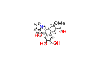 COc1cc2c3c(c4cc(O)c(CO)cc4c2cc1CO)[C@@H](O)[C@H]1CCCN1C3